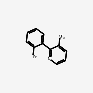 CC(C)c1ccccc1-c1ncccc1C(F)(F)F